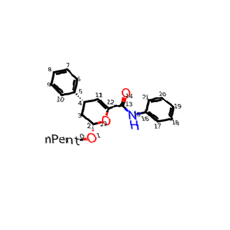 CCCCCO[C@@H]1C[C@H](c2ccccc2)C=C(C(=O)Nc2ccccc2)O1